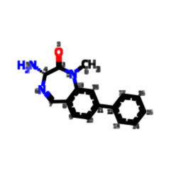 CN1C(=O)[C@@H](N)N=Cc2ccc(-c3ccccc3)cc21